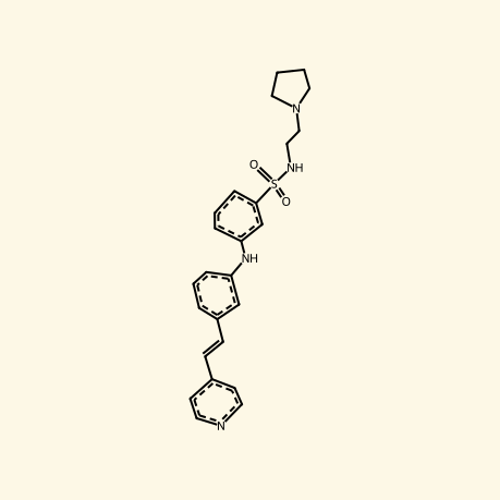 O=S(=O)(NCCN1CCCC1)c1cccc(Nc2cccc(/C=C/c3ccncc3)c2)c1